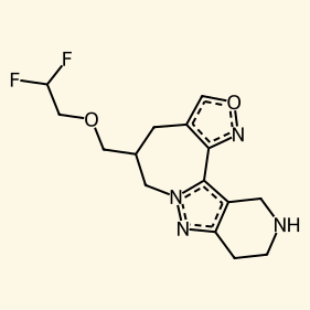 FC(F)COCC1Cc2conc2-c2c3c(nn2C1)CCNC3